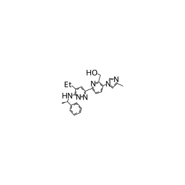 CCc1cc(-c2ccc(-n3cnc(C)c3)c(CO)n2)nnc1N[C@H](C)c1ccccc1